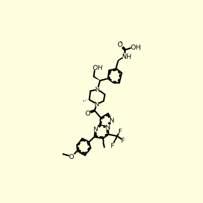 COc1ccc(-c2nc3c(C(=O)N4CCN([C@@H](CO)c5cccc(CNC(=O)O)c5)C[C@H]4C)cnn3c(C(F)(F)F)c2C)cc1